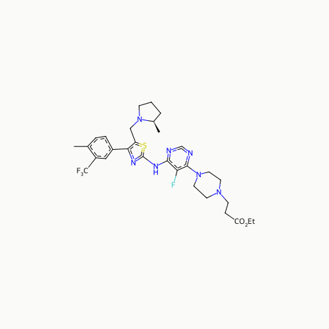 CCOC(=O)CCN1CCN(c2ncnc(Nc3nc(-c4ccc(C)c(C(F)(F)F)c4)c(CN4CCC[C@H]4C)s3)c2F)CC1